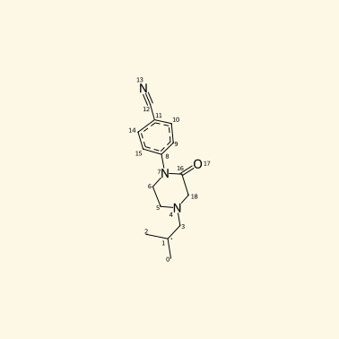 C[C](C)CN1CCN(c2ccc(C#N)cc2)C(=O)C1